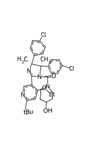 CCOc1cc(C(C)(C)C)ncc1C1=N[C@@](C)(c2ccc(Cl)cc2)[C@@](C)(c2ccc(Cl)cc2)N1C(=O)N1CCC(O)CC1